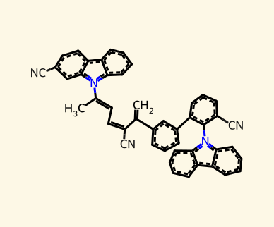 C=C(/C(C#N)=C\C=C(/C)n1c2ccccc2c2ccc(C#N)cc21)c1cccc(-c2cccc(C#N)c2-n2c3ccccc3c3ccccc32)c1